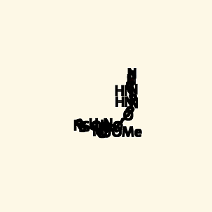 C=C1C[C@@H](C2OCCN2C(=O)CCCSSc2ccccn2)N(C(=O)c2cc(OC)c(OCCCCCOc3ccc(-c4nc5ccc(-c6nc7cc(N8CCN(C)CC8)ccc7[nH]6)cc5[nH]4)cc3)cc2N)C1